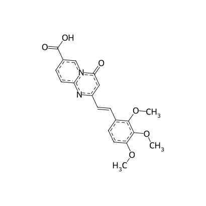 COc1ccc(/C=C/c2cc(=O)n3cc(C(=O)O)ccc3n2)c(OC)c1OC